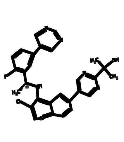 C[C@@H](Nc1c(Cl)cnc2ccc(-c3cnc(C(C)(C)O)nc3)cc12)c1cc(-c2cncnc2)ccc1F